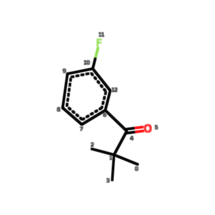 CC(C)(C)C(=O)c1cccc(F)c1